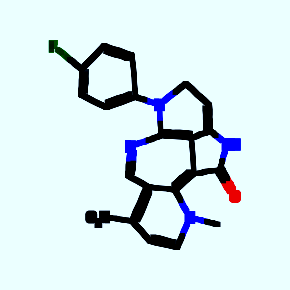 CN1C=CC([N+](=O)[O-])=c2cnc3c4c([nH]c(=O)c-4c21)=CCN3c1ccc(F)cc1